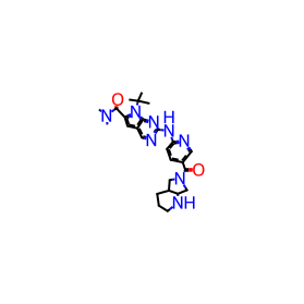 CN(C)C(=O)c1cc2cnc(Nc3ccc(C(=O)N4CC5CCCNC5C4)cn3)nc2n1C(C)(C)C